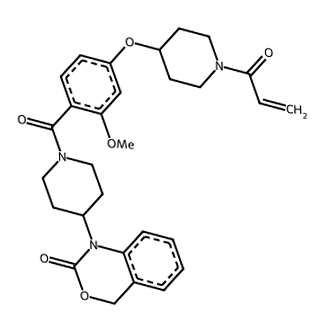 C=CC(=O)N1CCC(Oc2ccc(C(=O)N3CCC(N4C(=O)OCc5ccccc54)CC3)c(OC)c2)CC1